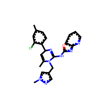 CC1=CC(c2ccc(C)cc2Cl)N=C(Nc2nc3ncccc3o2)N1Cc1cnn(C)c1